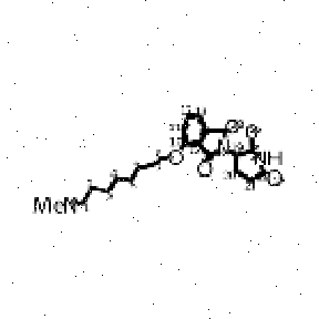 CNCCCCCCCCOc1cccc2c1C(=O)N(C1CCC(=O)NC1=O)C2=O